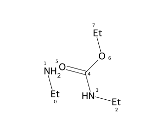 CCN.CCNC(=O)OCC